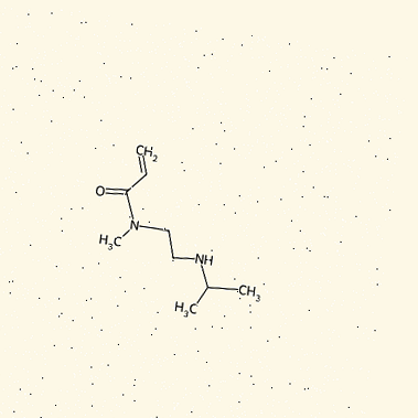 C=CC(=O)N(C)CCNC(C)C